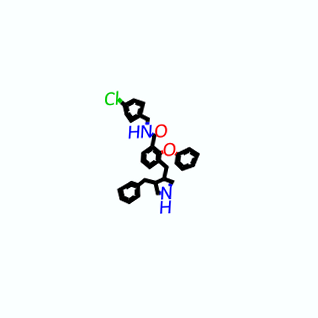 O=C(NCc1ccc(Cl)cc1)c1cccc(CC2CNCC2Cc2ccccc2)c1Oc1ccccc1